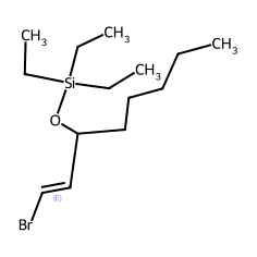 CCCCCC(/C=C/Br)O[Si](CC)(CC)CC